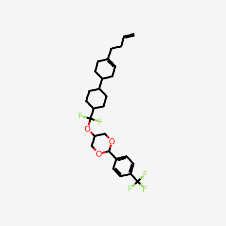 C=CCCC1=CCC(C2CCC(C(F)(F)OC3COC(c4ccc(C(F)(F)F)cc4)OC3)CC2)CC1